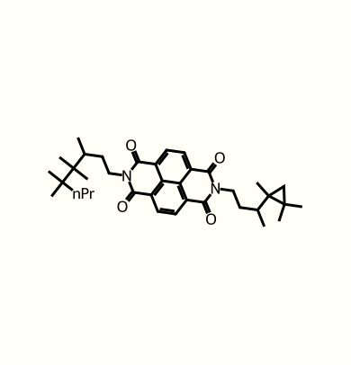 CCCC(C)(C)C(C)(C)C(C)CCN1C(=O)c2ccc3c4c(ccc(c24)C1=O)C(=O)N(CCC(C)C1(C)CC1(C)C)C3=O